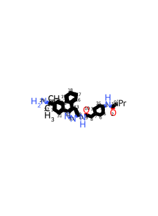 CC(C)C(=O)NC1CCC(CC(=O)Nc2cc(-c3ccccc3)c(-c3ccc(C(C)(C)N)cc3)nn2)CC1